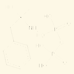 CC(N)(O)Cc1ccccc1.O=P(O)(O)OP(=O)(O)O